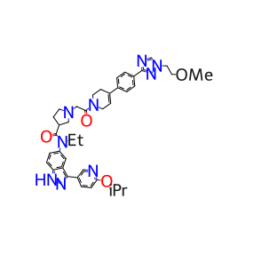 CCN(C(=O)C1CCN(CC(=O)N2CC=C(c3ccc(-c4ncn(CCOC)n4)cc3)CC2)C1)c1ccc2[nH]nc(-c3ccc(OC(C)C)nc3)c2c1